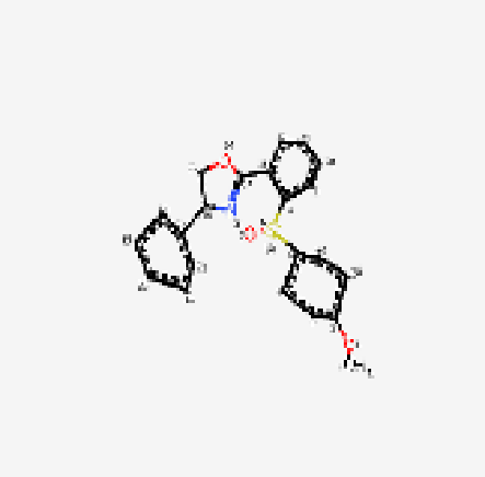 COc1ccc([S@@+]([O-])c2ccccc2C2=NC(c3ccccc3)CO2)cc1